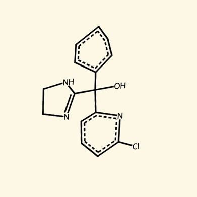 OC(C1=NCCN1)(c1ccccc1)c1cccc(Cl)n1